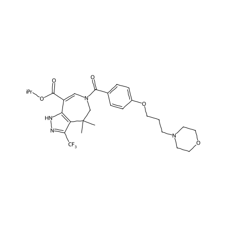 CC(C)OC(=O)C1=CN(C(=O)c2ccc(OCCCN3CCOCC3)cc2)CC(C)(C)c2c(C(F)(F)F)n[nH]c21